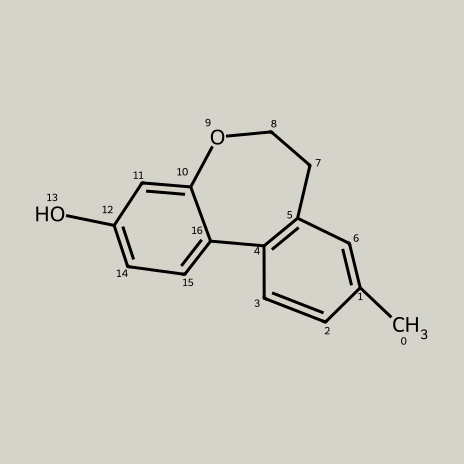 Cc1ccc2c(c1)CCOc1cc(O)ccc1-2